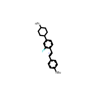 CCCCc1ccc(/C=C/c2ccc(C3CCC(CCC)CC3)cc2F)cc1